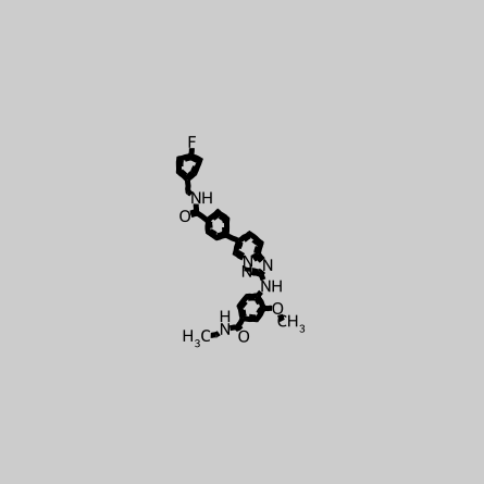 CCNC(=O)c1ccc(Nc2nc3ccc(-c4ccc(C(=O)NCc5ccc(F)cc5)cc4)cn3n2)c(OC)c1